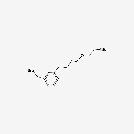 CC(C)(C)CCOCCCCc1cccc(CC(C)(C)C)c1